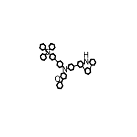 c1ccc([Si](c2ccccc2)(c2ccccc2)c2ccc(-c3ccc(N(c4ccc(-c5ccc6c(c5)-c5cccc(c5)-c5ccccc5N6)cc4)c4ccc5c(c4)oc4ccccc45)cc3)cc2)cc1